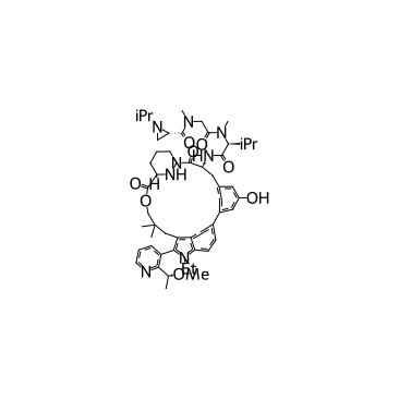 CCn1c(-c2cccnc2[C@H](C)OC)c2c3cc(ccc31)-c1cc(O)cc(c1)C[C@H](NC(=O)[C@H](C(C)C)N(C)C(=O)CN(C)C(=O)[C@@H]1CN1C(C)C)C(=O)N1CCC[C@H](N1)C(=O)OCC(C)(C)C2